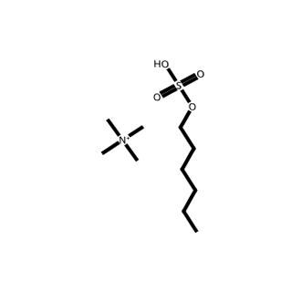 CCCCCCOS(=O)(=O)O.C[N+](C)(C)C